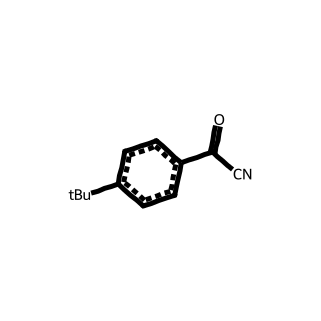 CC(C)(C)c1ccc(C(=O)C#N)cc1